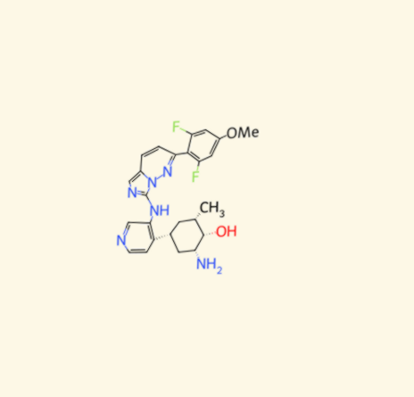 COc1cc(F)c(-c2ccc3cnc(Nc4cnccc4[C@H]4C[C@@H](N)[C@@H](O)[C@@H](C)C4)n3n2)c(F)c1